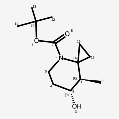 C[C@H]1[C@H](O)CCN(C(=O)OC(C)(C)C)C12CC2